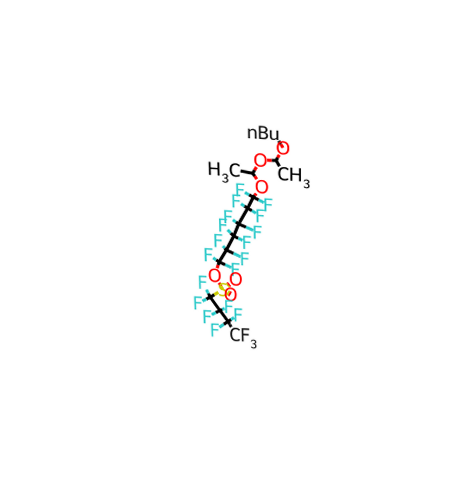 CCCCOC(C)OC(C)OC(F)(F)C(F)(F)C(F)(F)C(F)(F)C(F)(F)C(F)(F)OS(=O)(=O)C(F)(F)C(F)(F)C(F)(F)C(F)(F)F